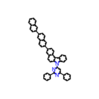 c1ccc(-c2cc(-n3c4ccccc4c4c5ccc(-c6ccc7cc(-c8ccc9ccccc9c8)ccc7c6)cc5ccc43)nc(-c3ccccc3)n2)cc1